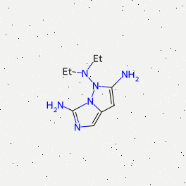 CCN(CC)n1c(N)cc2cnc(N)n21